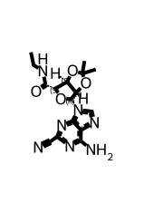 CCNC(=O)[C@H]1O[C@@H](n2cnc3c(N)nc(C#N)nc32)[C@@H]2OC(C)(C)O[C@@H]21